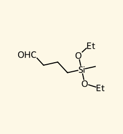 CCO[Si](C)(CCCC=O)OCC